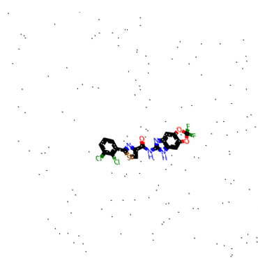 O=C(Nc1nc2cc3c(cc2[nH]1)OC(F)(F)O3)c1csc(-c2cccc(Cl)c2Cl)n1